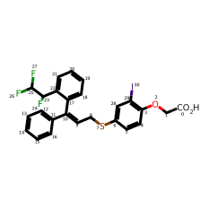 O=C(O)COc1ccc(SCC=C(c2ccccc2)c2ccccc2C(F)C(F)F)cc1I